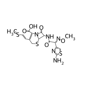 CON=C(C(=O)NC1C(=O)N2C(C(=O)O)=C(C=CSC)CSC12)c1csc(N)n1